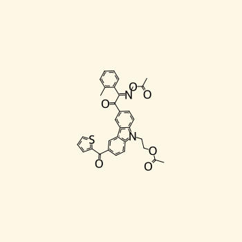 CC(=O)OCCn1c2ccc(C(=O)C(=NOC(C)=O)c3ccccc3C)cc2c2cc(C(=O)c3cccs3)ccc21